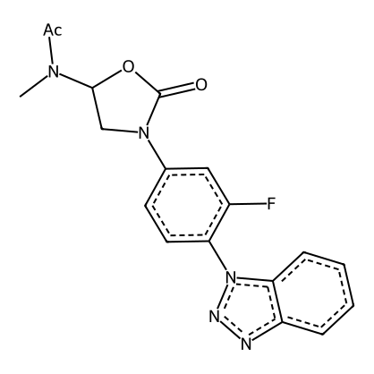 CC(=O)N(C)C1CN(c2ccc(-n3nnc4ccccc43)c(F)c2)C(=O)O1